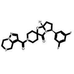 O=C(c1cnn2c1CSCC2)N1CCC2(CC1)O[C@@H]1CC[C@@H](c3cc(F)cc(F)c3)N1C2=O